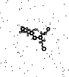 CCn1nc(-c2cccc(-c3cc(C(=O)NCCN4CCCCC4)cc(C(=O)NCCN4CCCC4)c3)c2)cc(NC(=O)Nc2c(Cl)cncc2Cl)c1=O